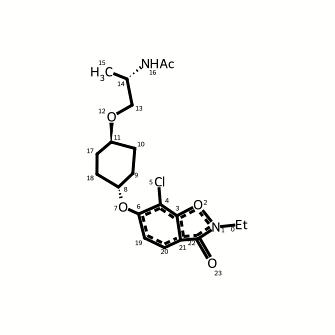 CCn1oc2c(Cl)c(O[C@H]3CC[C@H](OC[C@H](C)NC(C)=O)CC3)ccc2c1=O